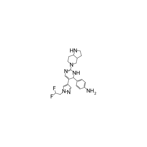 Nc1ccc(C2NC(N3CCC4NCCC4C3)=NC=C2c2cnn(CC(F)F)c2)cc1